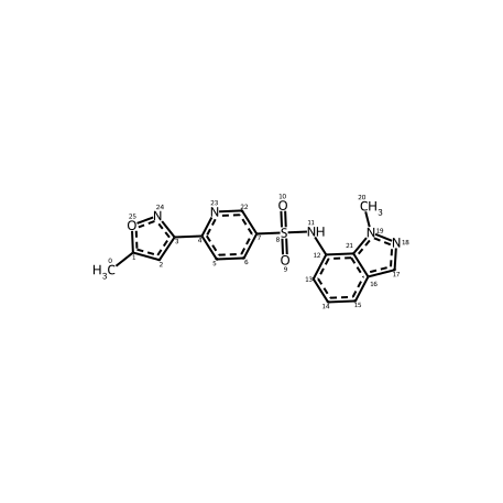 Cc1cc(-c2ccc(S(=O)(=O)Nc3cccc4cnn(C)c34)cn2)no1